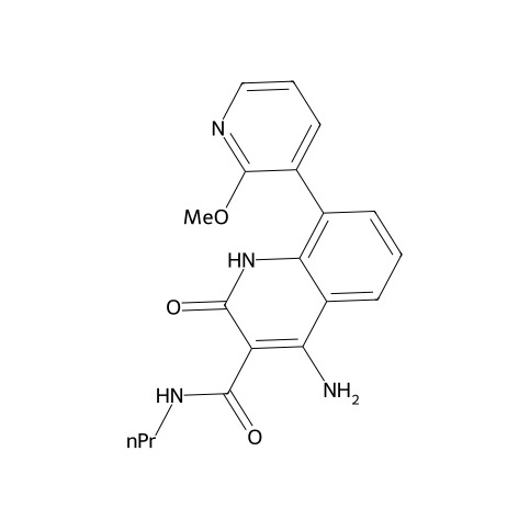 CCCNC(=O)c1c(N)c2cccc(-c3cccnc3OC)c2[nH]c1=O